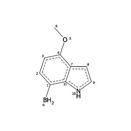 Bc1ccc(OC)c2cc[nH]c12